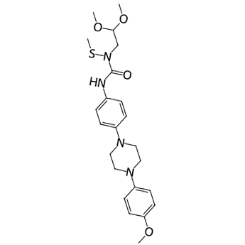 COc1ccc(N2CCN(c3ccc(NC(=O)N(CC(OC)OC)SC)cc3)CC2)cc1